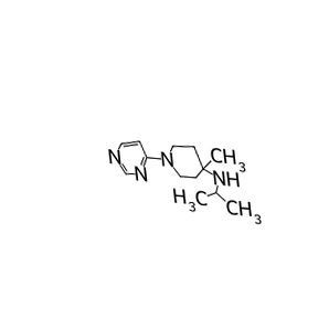 CC(C)NC1(C)CCN(c2ccncn2)CC1